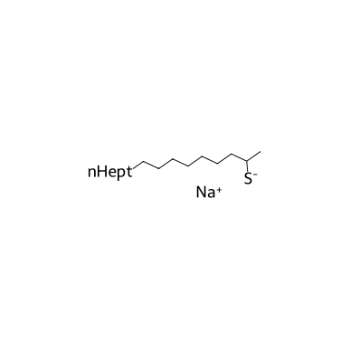 CCCCCCCCCCCCCCC(C)[S-].[Na+]